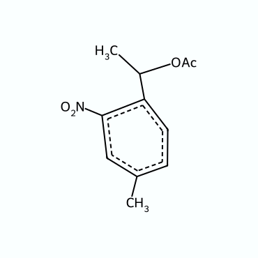 CC(=O)OC(C)c1ccc(C)cc1[N+](=O)[O-]